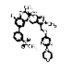 Cc1nn(C)c(COc2cnc(N3CCOCC3)nc2)c1CN1C(=O)[C@@H](C)Oc2c(F)cc(-c3cccc(S(C)(=O)=O)c3)cc21